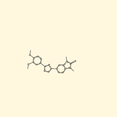 COc1ccc(-c2nc(-c3ccc4c(c3)n(C)c(=O)n4C)cs2)cc1OC